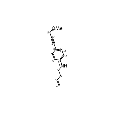 C=CCCNc1ccc(C#CCOC)nc1